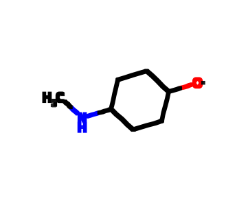 CNC1CCC([O])CC1